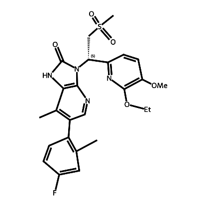 CCOc1nc([C@@H](CS(C)(=O)=O)n2c(=O)[nH]c3c(C)c(-c4ccc(F)cc4C)cnc32)ccc1OC